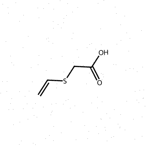 C=CSCC(=O)O